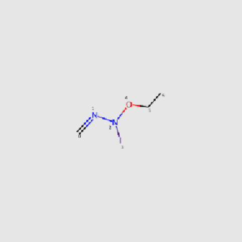 C=NN(I)OCC